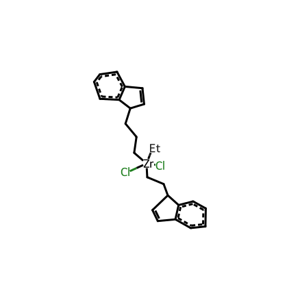 C[CH2][Zr]([Cl])([Cl])([CH2]CCC1C=Cc2ccccc21)[CH2]CC1C=Cc2ccccc21